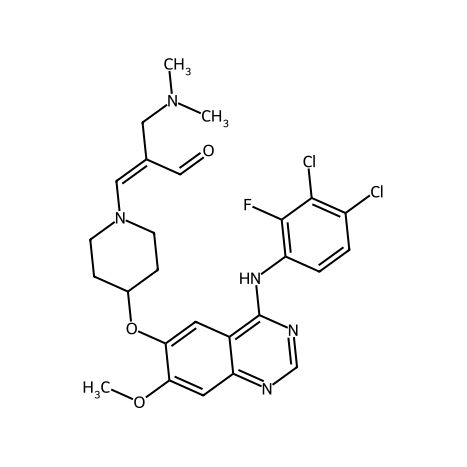 COc1cc2ncnc(Nc3ccc(Cl)c(Cl)c3F)c2cc1OC1CCN(C=C(C=O)CN(C)C)CC1